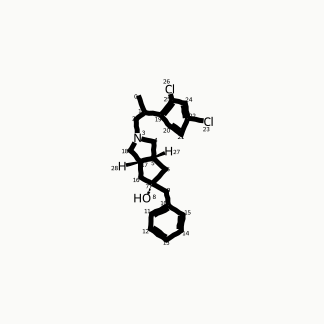 CC(CN1C[C@@H]2C[C@@](O)(Cc3ccccc3)C[C@@H]2C1)c1ccc(Cl)cc1Cl